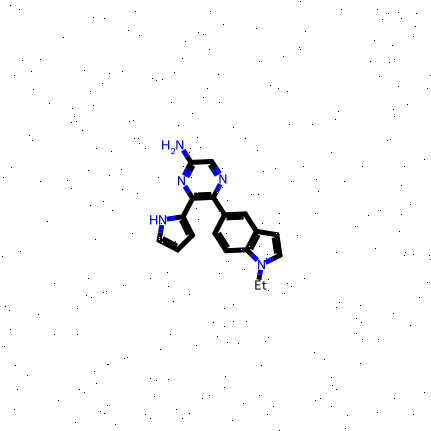 CCn1ccc2cc(-c3ncc(N)nc3-c3ccc[nH]3)ccc21